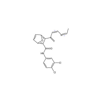 C=C(/C=C\N=C/C)c1c(C(=O)Nc2ccc(Cl)c(Cl)c2)c2ccc1o2